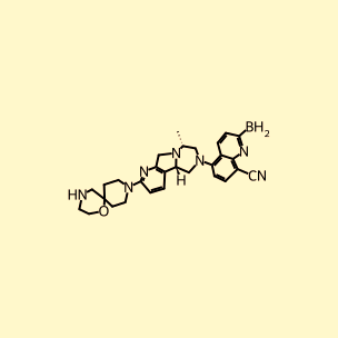 Bc1ccc2c(N3C[C@@H](C)N4Cc5nc(N6CCC7(CC6)CNCCO7)ccc5[C@H]4C3)ccc(C#N)c2n1